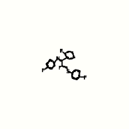 Fc1ccc(N=C(C(I)=CSc2ccc(F)cc2)c2ccccc2F)cc1